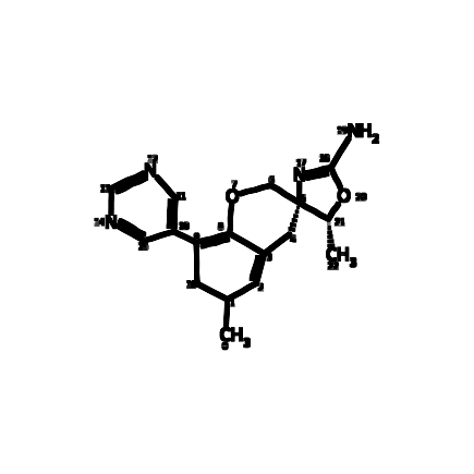 CC1C=C2C[C@]3(COC2=C(c2cncnc2)C1)N=C(N)O[C@@H]3C